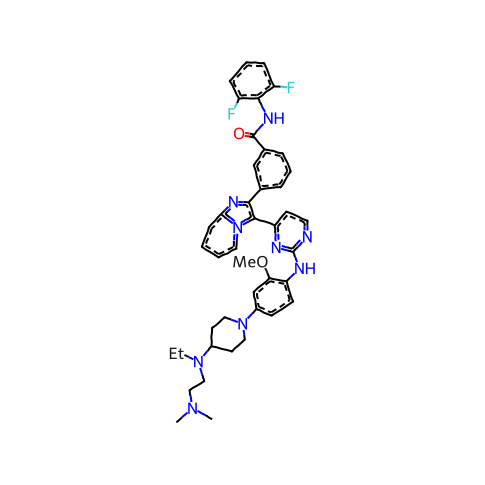 CCN(CCN(C)C)C1CCN(c2ccc(Nc3nccc(-c4c(-c5cccc(C(=O)Nc6c(F)cccc6F)c5)nc5ccccn45)n3)c(OC)c2)CC1